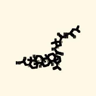 C=C(C)[C@@H]1CC[C@]2(C(=O)N[C@@H]3C[C@H](C(=O)NNC(=O)CC(C)C)C3(C)C)CC[C@]3(C)[C@H](CC[C@@H]4[C@]5(C)CC[C@@H](CC(=O)O)C(C)(C)[C@H]5CC[C@]43C)[C@@H]12